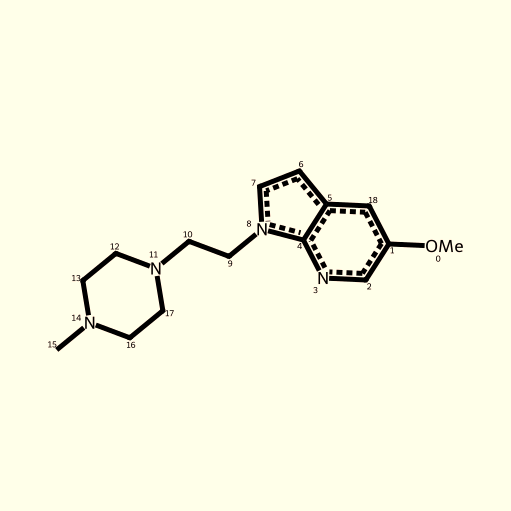 COc1cnc2c(ccn2CCN2CCN(C)CC2)c1